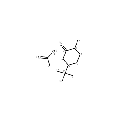 CC(=O)O.CC1CCC(C(C)(C)C)CC1=O